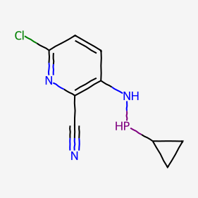 N#Cc1nc(Cl)ccc1NPC1CC1